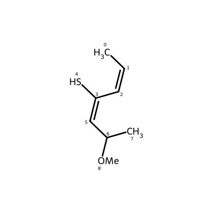 C/C=C\C(S)=C/C(C)OC